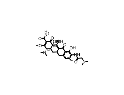 CN(C)CC(=O)Nc1c(F)cc2c(c1O)C(=O)C1=C(O)[C@]3(O)C(=O)C(C(N)=O)=C(O)[C@@H](N(C)C)C3CC1C2